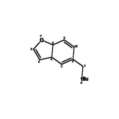 CC(C)(C)CC1=CC2C=COC2C=C1